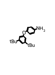 CC(C)(C)c1cc(Oc2ccc(N)cc2)cc(C(C)(C)C)c1